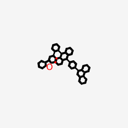 c1ccc(-c2c3ccccc3c(-c3ccc(-c4cc5ccccc5c5ccccc45)cc3)c3ccccc23)c(-c2ccc3oc4ccccc4c3c2)c1